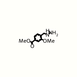 COC(=O)c1ccc(CNN)c(OC)c1